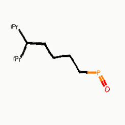 CC(C)C(CCCCP=O)C(C)C